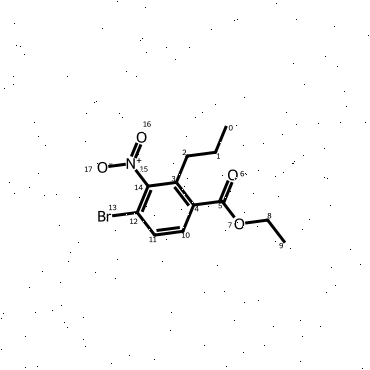 CCCc1c(C(=O)OCC)ccc(Br)c1[N+](=O)[O-]